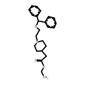 CCOC(=O)CC1CCN(CCOC(c2ccccc2)c2ccccc2)CC1